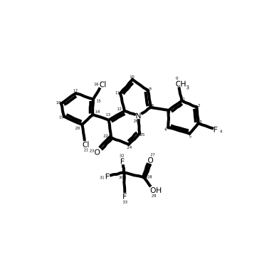 Cc1cc(F)ccc1-c1cccc2c(-c3c(Cl)cccc3Cl)c(=O)ccn12.O=C(O)C(F)(F)F